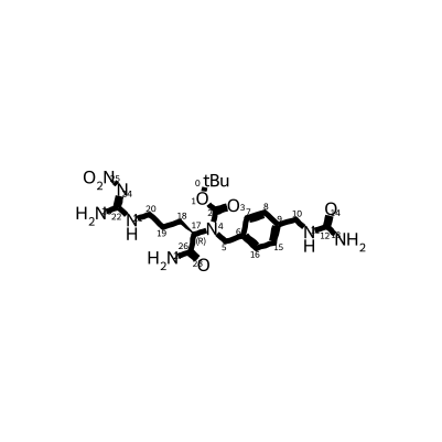 CC(C)(C)OC(=O)N(Cc1ccc(CNC(N)=O)cc1)[C@H](CCCNC(N)=N[N+](=O)[O-])C(N)=O